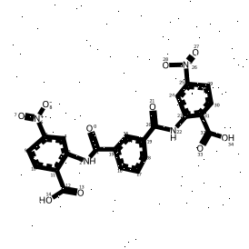 O=C(Nc1cc([N+](=O)[O-])ccc1C(=O)O)c1cccc(C(=O)Nc2cc([N+](=O)[O-])ccc2C(=O)O)c1